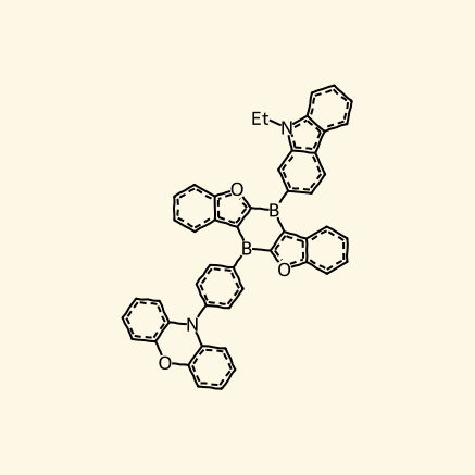 CCn1c2ccccc2c2ccc(B3c4oc5ccccc5c4B(c4ccc(N5c6ccccc6Oc6ccccc65)cc4)c4oc5ccccc5c43)cc21